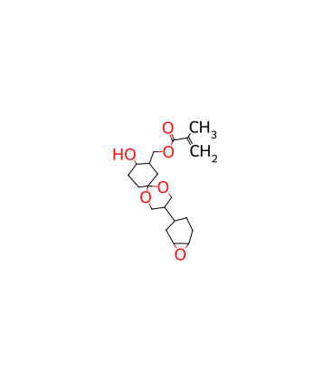 C=C(C)C(=O)OCC1CC2(CCC1O)OCC(C1CCC3OC3C1)CO2